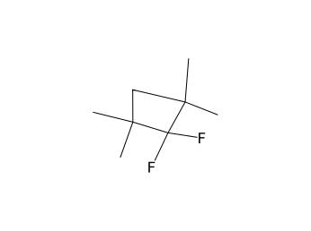 CC1(C)CC(C)(C)C1(F)F